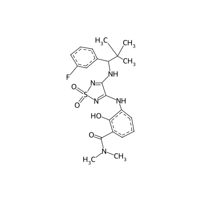 CN(C)C(=O)c1cccc(NC2=NS(=O)(=O)N=C2NC(c2cccc(F)c2)C(C)(C)C)c1O